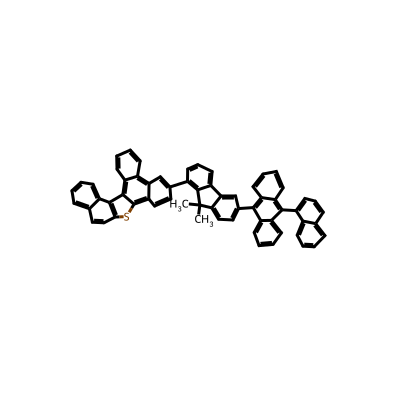 CC1(C)c2ccc(-c3c4ccccc4c(-c4cccc5ccccc45)c4ccccc34)cc2-c2cccc(-c3ccc4c(c3)c3ccccc3c3c4sc4ccc5ccccc5c43)c21